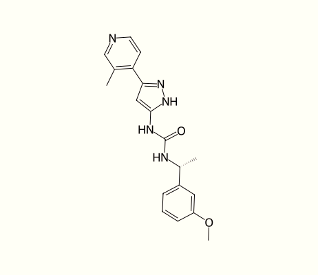 COc1cccc([C@@H](C)NC(=O)Nc2cc(-c3ccncc3C)n[nH]2)c1